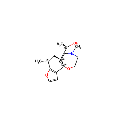 C[C@@H]1C[C@@]23CN(C)CCO[C@@]2(CC=C3[C@@H](C)O)c2ccoc21